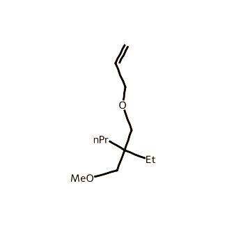 C=CCOCC(CC)(CCC)COC